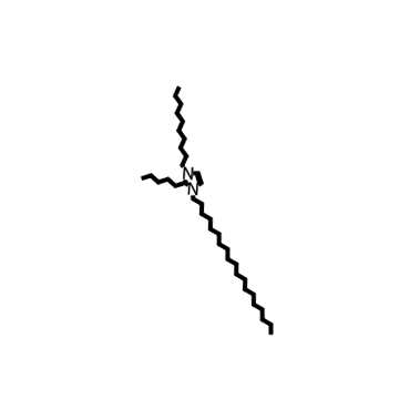 CCCCCCCCCCCCCCCCCCCN1C=CN(CCCCCCCCCC)C1CCCCC